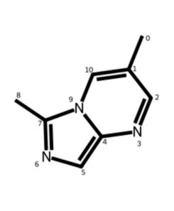 Cc1cnc2cnc(C)n2c1